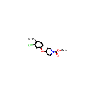 CC(C)(C)OC(=O)N1CCC(Oc2ccc(C=O)c(Cl)c2)CC1